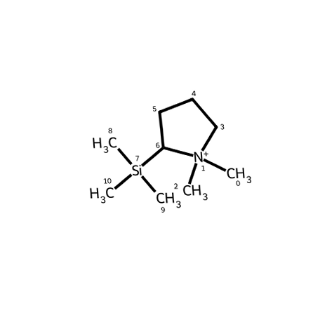 C[N+]1(C)CCCC1[Si](C)(C)C